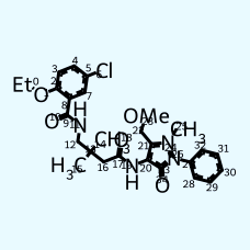 CCOc1ccc(Cl)cc1C(=O)NCC(C)(C)CC(=O)Nc1c(COC)n(C)n(-c2ccccc2)c1=O